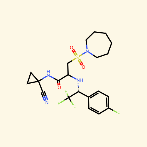 N#CC1(NC(=O)C(CS(=O)(=O)N2CCCCCC2)N[C@H](c2ccc(F)cc2)C(F)(F)F)CC1